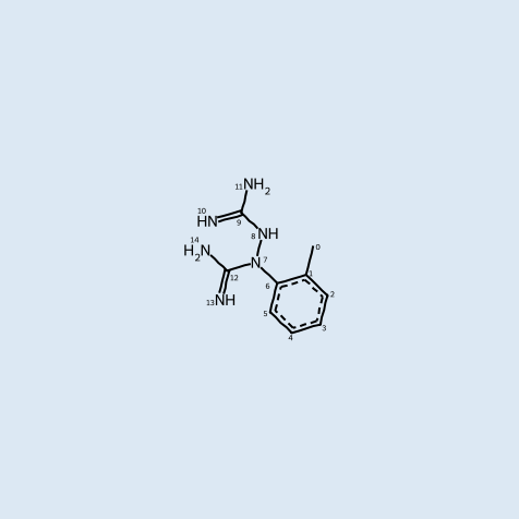 Cc1ccccc1N(NC(=N)N)C(=N)N